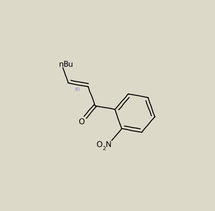 CCCC/C=C/C(=O)c1ccccc1[N+](=O)[O-]